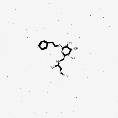 COCC(C)NC[C@H]1O[C@H](OCCc2ccccc2)[C@@H](O)[C@H](O)[C@@H]1O